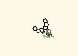 C[CH2][Hf](=[SiH2])([CH2]C)([c]1ccc2c(c1C)Cc1ccccc1-2)[c]1ccc2c(c1C)Cc1ccccc1-2.Cl.Cl